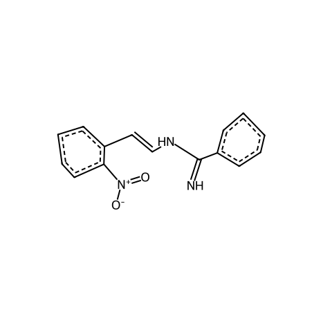 N=C(NC=Cc1ccccc1[N+](=O)[O-])c1ccccc1